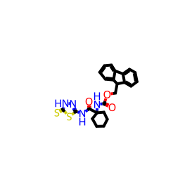 O=C(NC1(C(=O)Nc2n[nH]c(=S)s2)CCCCC1)OCC1c2ccccc2-c2ccccc21